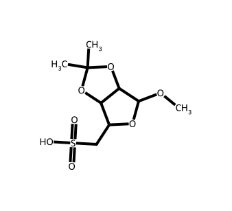 COC1OC(CS(=O)(=O)O)C2OC(C)(C)OC12